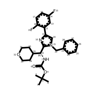 CC(C)(C)OC(=O)N[C@@H](c1nc(-c2cc(F)ccc2F)cn1Cc1ccccc1)C1CCOCC1